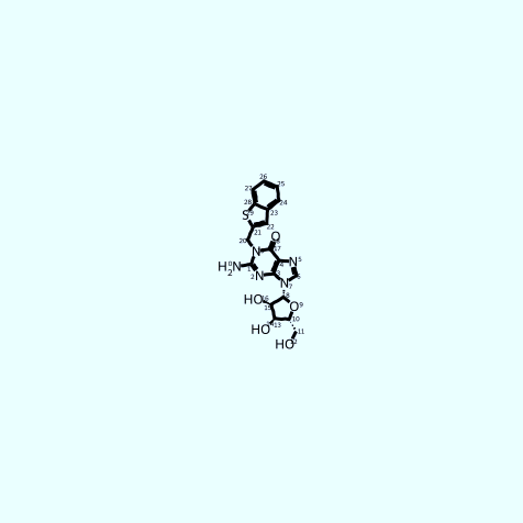 Nc1nc2c(ncn2[C@@H]2O[C@H](CO)[C@@H](O)[C@H]2O)c(=O)n1Cc1cc2ccccc2s1